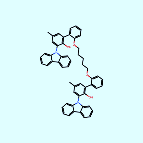 Cc1cc(-c2ccccc2OCCCCCOc2ccccc2-c2cc(C)cc(-n3c4ccccc4c4ccccc43)c2O)c(O)c(-n2c3ccccc3c3ccccc32)c1